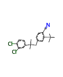 CC(C)(C)c1cc(CC(C)(C)c2ccc(Cl)c(Cl)c2)ccc1C#N